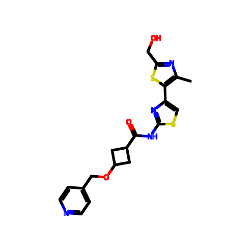 Cc1nc(CO)sc1-c1csc(NC(=O)C2CC(OCc3ccncc3)C2)n1